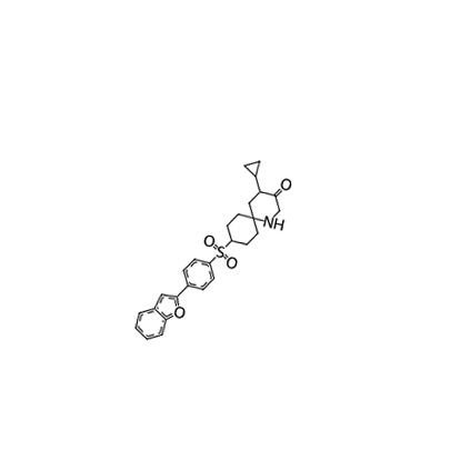 O=C1CNC2(CCC(S(=O)(=O)c3ccc(-c4cc5ccccc5o4)cc3)CC2)CC1C1CC1